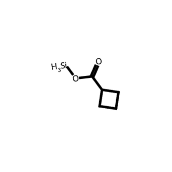 O=C(O[SiH3])C1CCC1